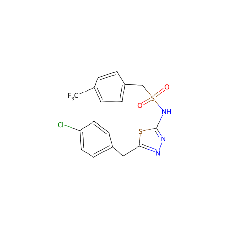 O=S(=O)(Cc1ccc(C(F)(F)F)cc1)Nc1nnc(Cc2ccc(Cl)cc2)s1